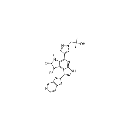 CC(C)n1c(=O)n(C)c2c(-c3cnn(CC(C)(C)O)c3)nc3[nH]cc(-c4cc5cnccc5s4)c3c21